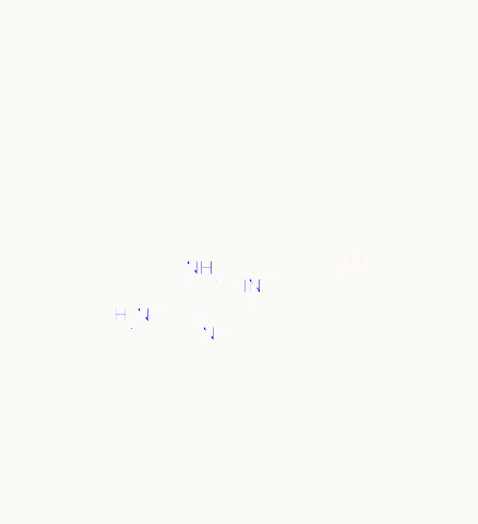 CC(C)CC1NC(N=C(N)N)=CCCC1=O